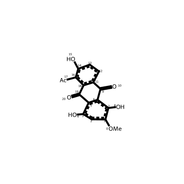 COc1cc(O)c2c(c1O)C(=O)c1ccc(O)c(C(C)=O)c1C2=O